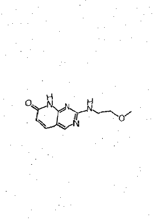 COCCNc1ncc2ccc(=O)[nH]c2n1